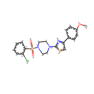 CCOc1ccc(-c2csc(N3CCN(S(=O)(=O)c4ccccc4Br)CC3)n2)cc1